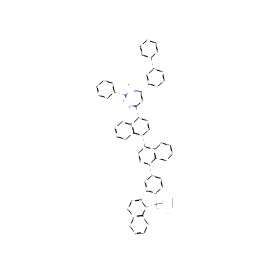 CC1(C)c2ccc(-c3ccc(-c4ccc(-c5cc(-c6cccc(-c7ccccc7)c6)nc(-c6ccccc6)n5)c5ccccc45)c4ccccc34)cc2-c2ccc3ccccc3c21